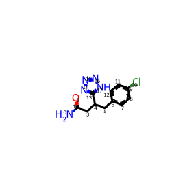 NC(=O)CC(Cc1ccc(Cl)cc1)c1nnn[nH]1